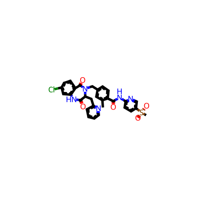 Cc1cc(CN2C(=O)c3ccc(Cl)cc3NC(=O)C2Cc2ccccn2)ccc1C(=O)Nc1ccc(S(C)(=O)=O)cn1